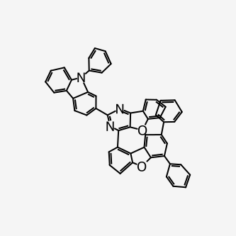 c1ccc(-c2cc(-c3ccccc3)c3oc4cccc(-c5nc(-c6ccc7c8ccccc8n(-c8ccccc8)c7c6)nc6c5oc5ccccc56)c4c3c2)cc1